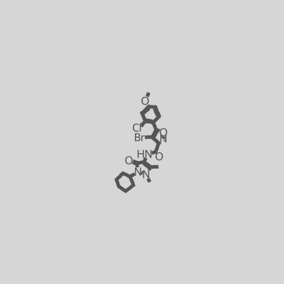 COc1ccc(-c2onc(C(=O)Nc3c(C)n(C)n(C4CCCCC4)c3=O)c2Br)c(Cl)c1